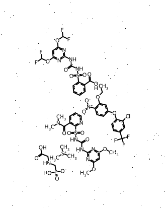 CCOc1cc(Oc2ccc(C(F)(F)F)cc2Cl)ccc1[N+](=O)[O-].COc1cc(OC)nc(NC(=O)NS(=O)(=O)c2ncccc2C(=O)N(C)C)n1.C[S+](C)C.O=C(Nc1nc(OC(F)F)cc(OC(F)F)n1)NS(=O)(=O)c1ccccc1C(=O)O.O=C(O)CNCP(=O)([O-])O